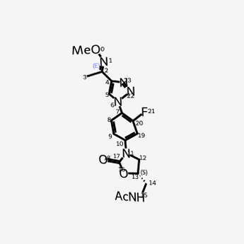 CO/N=C(\C)c1cn(-c2ccc(N3C[C@H](CNC(C)=O)OC3=O)cc2F)nn1